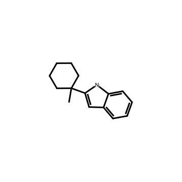 CC1(C2=Cc3ccccc3[N]2)CCCCC1